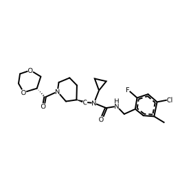 Cc1cc(CNC(=O)N(C[C@@H]2CCCN(C(=O)[C@H]3COCCO3)C2)C2CC2)c(F)cc1Cl